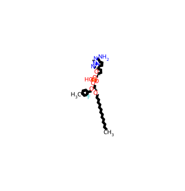 CCCCCCCCCCCCCCCCOC[C@H](COP(=O)(O)OC[C@@H]1CC[C@](C#N)(c2ccc3c(N)ncnn23)O1)OCc1ccc(C)cc1F